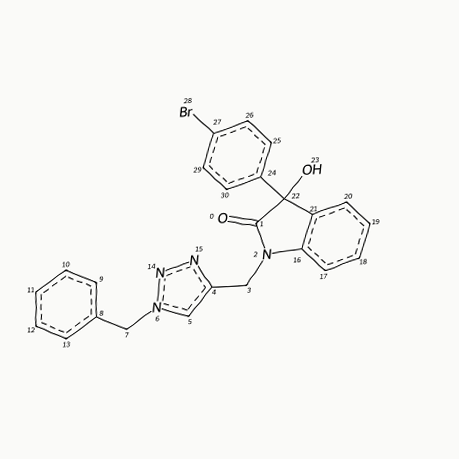 O=C1N(Cc2cn(Cc3ccccc3)nn2)c2ccccc2C1(O)c1ccc(Br)cc1